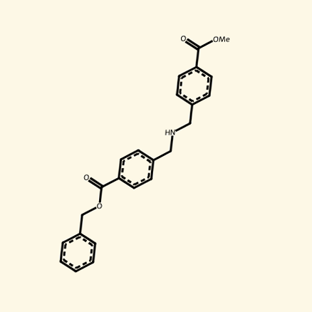 COC(=O)c1ccc(CNCc2ccc(C(=O)OCc3ccccc3)cc2)cc1